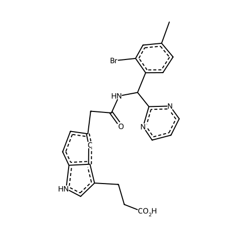 Cc1ccc(C(NC(=O)Cc2ccc3[nH]cc(CCC(=O)O)c3c2)c2ncccn2)c(Br)c1